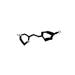 Clc1ccc(CCC2CNCC[N]2)cc1